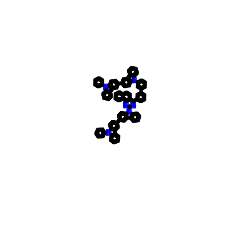 c1ccc(-n2c3ccccc3c3cc(-c4ccc5c(c4)c4ccccc4n5-c4cccc(-c5cccc(-c6nc(-n7c8ccccc8c8cc(-c9ccc%10c(c9)c9ccccc9n%10-c9ccccc9)ccc87)nc7c6ccc6ccccc67)c5)c4)ccc32)cc1